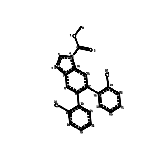 COC(=O)n1cnc2cc(-c3ccccc3Cl)c(-c3ccccc3Cl)cc21